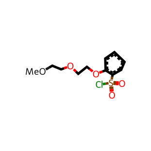 COCCOCCOc1ccccc1S(=O)(=O)Cl